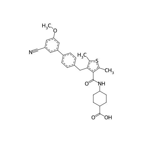 COc1cc(C#N)cc(-c2ccc(Cc3c(C)sc(C)c3C(=O)NC3CCC(C(=O)O)CC3)cc2)c1